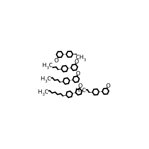 CCCCCCC[C@H]1CC[C@H](C2CCCC(=O)C2)CC1.CCCCC[C@H]1CC[C@H](C2CCCC(=O)C2)CC1.CCCC[C@H]1CC[C@H](C2CCCC(=O)C2)CC1.CCC[C@H]1CC[C@H](C2CCCC(=O)C2)CC1.CC[C@H]1CC[C@H](C2CCCC(=O)C2)CC1